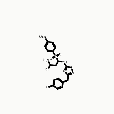 CCC(N)CC(Nc1nc(Cc2ccc(Cl)cc2)ns1)S(=O)(=O)c1ccc(OC)cc1